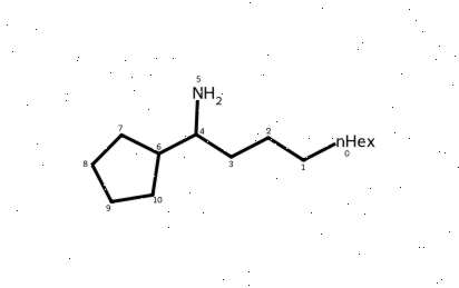 CCCCCCCCCC(N)C1CCCC1